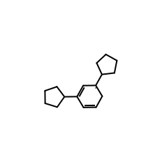 C1=CC(C2CCCC2)=C[C](C2CCCC2)C1